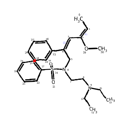 C/C=C(\C=C(/CN(CCN(CC)CC)S(=O)(=O)c1ccccc1)c1ccccc1)OC